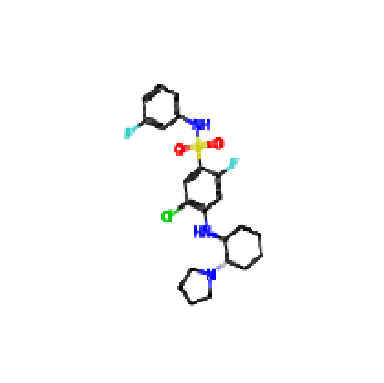 O=S(=O)(Nc1cccc(F)c1)c1cc(Cl)c(N[C@H]2CCCC[C@@H]2N2CCCC2)cc1F